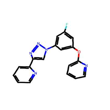 Fc1cc(Oc2ccccn2)cc(-n2cc(-c3ccccn3)nn2)c1